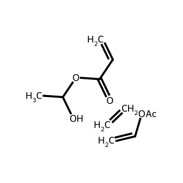 C=C.C=CC(=O)OC(C)O.C=COC(C)=O